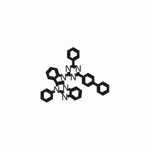 c1ccc(-c2ccc(-c3nc(-c4ccccc4)nc(-n4c5ccccc5c5c4n4c6ccccc6nc4n5-c4ccccc4)n3)cc2)cc1